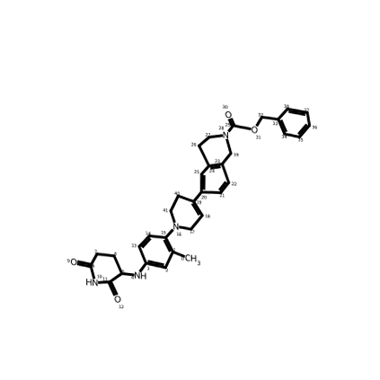 Cc1cc(NC2CCC(=O)NC2=O)ccc1N1CC=C(c2ccc3c(c2)CCN(C(=O)OCc2ccccc2)C3)CC1